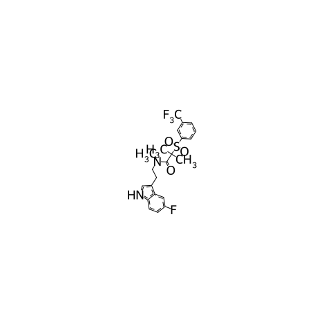 CN(CCc1c[nH]c2ccc(F)cc12)C(=O)C(C)(C)S(=O)(=O)c1cccc(C(F)(F)F)c1